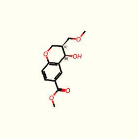 COC[C@@H]1COc2ccc(C(=O)OC)cc2[C@@H]1O